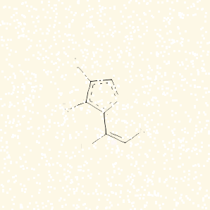 C/C(=C/N)c1scc(Cl)c1N